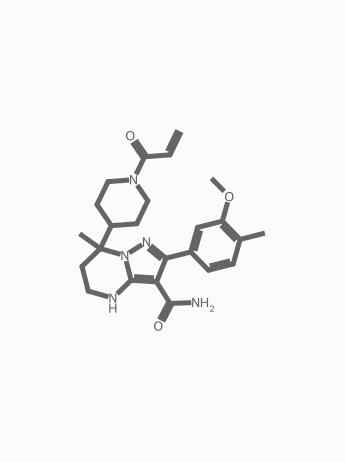 C=CC(=O)N1CCC(C2(C)CCNc3c(C(N)=O)c(-c4ccc(C)c(OC)c4)nn32)CC1